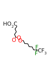 O=C(O)CCCCC(=O)OOCCCCCCC(F)(F)C(F)(F)F